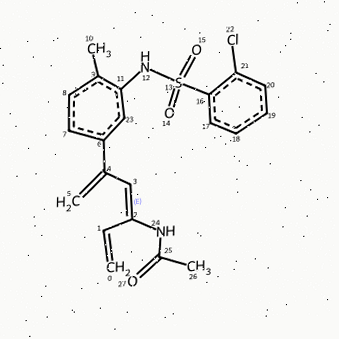 C=C/C(=C\C(=C)c1ccc(C)c(NS(=O)(=O)c2ccccc2Cl)c1)NC(C)=O